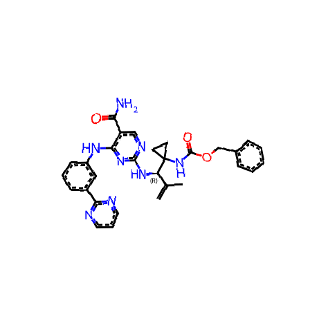 C=C(C)[C@@H](Nc1ncc(C(N)=O)c(Nc2cccc(-c3ncccn3)c2)n1)C1(NC(=O)OCc2ccccc2)CC1